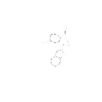 COc1ccc(C=O)c(C2(c3cc4ccccc4o3)CC2)c1